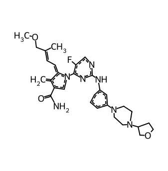 C=c1c(C(N)=O)cn(-c2nc(Nc3cccc(N4CCN(C5CCOC5)CC4)c3)ncc2F)/c1=C/C=C(\C)COC